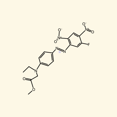 CCN(CC(=O)OC)c1ccc(/N=N/c2cc(F)c([N+](=O)[O-])cc2[N+](=O)[O-])cc1